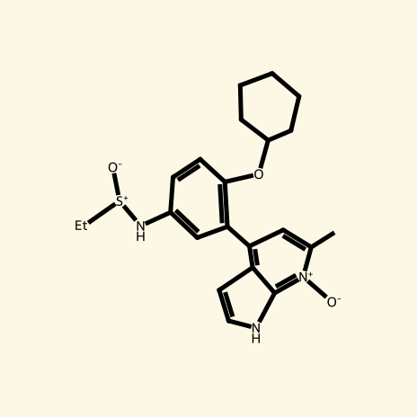 CC[S+]([O-])Nc1ccc(OC2CCCCC2)c(-c2cc(C)[n+]([O-])c3[nH]ccc23)c1